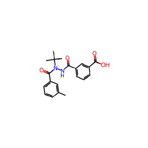 Cc1cccc(C(=O)N(NC(=O)c2cccc(C(=O)O)c2)C(C)(C)C)c1